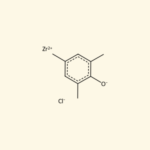 Cc1cc(C)c([O-])c(C)c1.[Cl-].[Zr+2]